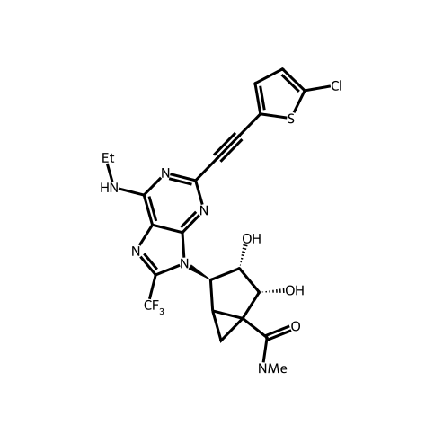 CCNc1nc(C#Cc2ccc(Cl)s2)nc2c1nc(C(F)(F)F)n2[C@@H]1C2CC2(C(=O)NC)[C@@H](O)[C@H]1O